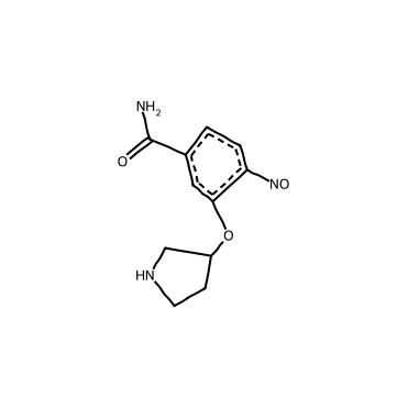 NC(=O)c1ccc(N=O)c(OC2CCNC2)c1